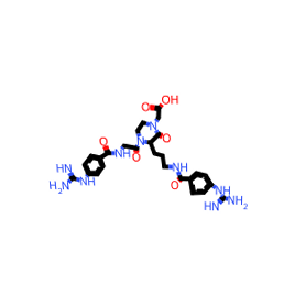 N=C(N)Nc1ccc(C(=O)NCCCC2C(=O)N(CC(=O)O)CCN2C(=O)CNC(=O)c2ccc(NC(=N)N)cc2)cc1